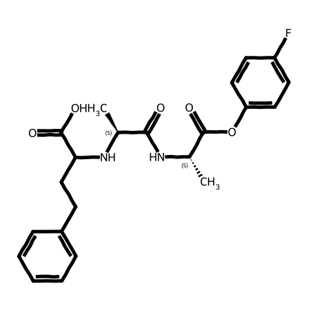 C[C@H](NC(CCc1ccccc1)C(=O)O)C(=O)N[C@@H](C)C(=O)Oc1ccc(F)cc1